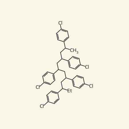 CCC(CC(CC(CC(CC(C)c1ccc(Cl)cc1)c1ccc(Cl)cc1)c1ccc(Cl)cc1)c1ccc(Cl)cc1)c1ccc(Cl)cc1